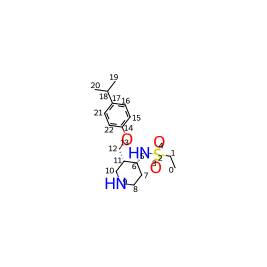 CCS(=O)(=O)N[C@@H]1CCNC[C@@H]1COc1ccc(C(C)C)cc1